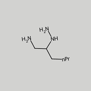 CCCCC(CN)NN